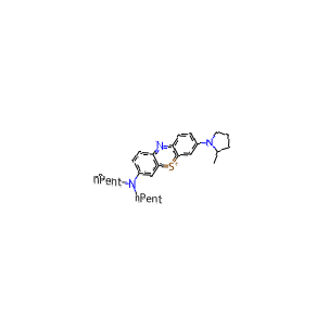 CCCCCN(CCCCC)c1ccc2nc3ccc(N4CCCC4C)cc3[s+]c2c1